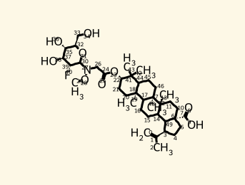 C=C(C)[C@@H]1CC[C@]2(C(=O)O)CC[C@]3(C)C(CCC4[C@@]5(C)CC[C@H](OC(=O)CN(OC)C6O[C@H](CO)[C@@H](O)[C@H](O)[C@H]6F)C(C)(C)C5CC[C@]43C)C12